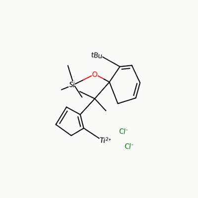 CC(C)(C)C1=CC=CCC1(O[Si](C)(C)C)C(C)(C)C1=[C]([Ti+2])CC=C1.[Cl-].[Cl-]